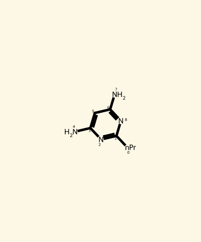 CCCc1nc(N)cc(N)n1